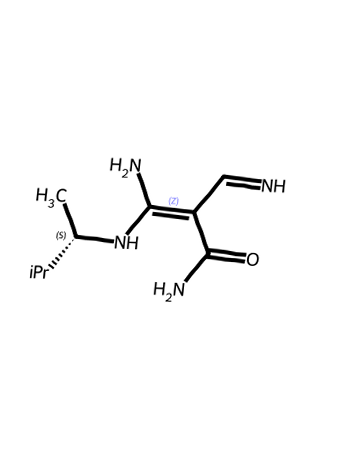 CC(C)[C@H](C)N/C(N)=C(/C=N)C(N)=O